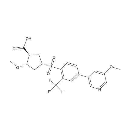 COc1cncc(-c2ccc(S(=O)(=O)[C@@H]3C[C@H](OC)[C@@H](C(=O)O)C3)c(C(F)(F)F)c2)c1